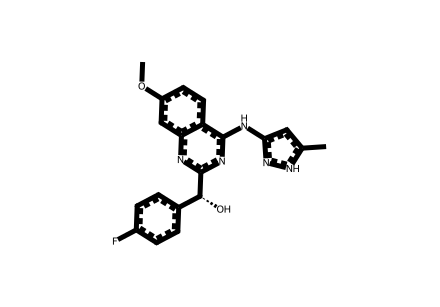 COc1ccc2c(Nc3cc(C)[nH]n3)nc([C@H](O)c3ccc(F)cc3)nc2c1